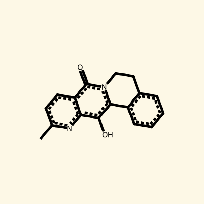 Cc1ccc2c(=O)n3c(c(O)c2n1)-c1ccccc1CC3